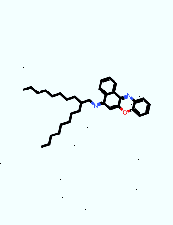 CCCCCCCCC(CCCCCCCC)C/N=c1/cc2oc3ccccc3nc-2c2ccccc12